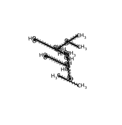 CCCCCCCCC(CCCCCCCC)C(=O)OCCCCCC(O)CN(CCCCNC(=O)CN(C)CC(=O)NCCCCN(CC(O)CCCCCCCCCCCCCCC(=O)O)CC(O)CCCCCOC(=O)C(CCCCCCCC)CCCCCCCC)CC(O)CCCCCCCCCCCCCCC(=O)O